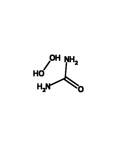 NC(N)=O.OO